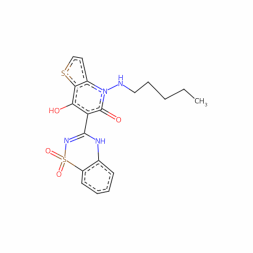 CCCCCNn1c(=O)c(C2=NS(=O)(=O)c3ccccc3N2)c(O)c2sccc21